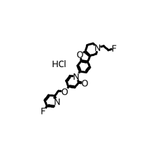 Cl.O=c1cc(OCc2ccc(F)cn2)ccn1-c1ccc2c3c(oc2c1)CCN(CCF)C3